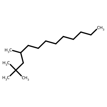 CCCCCCCCC[C](C)CC(C)(C)C